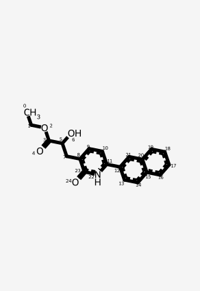 CCOC(=O)C(O)Cc1ccc(-c2ccc3ccccc3c2)[nH]c1=O